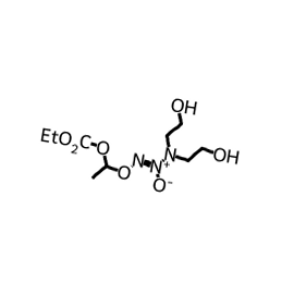 CCOC(=O)OC(C)O/N=[N+](\[O-])N(CCO)CCO